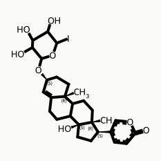 C[C@]12CC[C@H](OC3OC(I)C(O)C(O)C3O)C=C1CCC1C2CC[C@]2(C)[C@@H](c3ccc(=O)oc3)CC[C@]12O